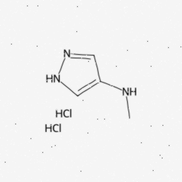 CNc1cn[nH]c1.Cl.Cl